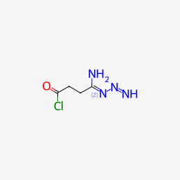 N=N/N=C(\N)CCC(=O)Cl